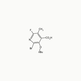 CCCCOc1c(Br)nc(F)c(C)c1C(=O)O